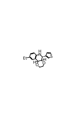 CCc1ccc2c(c1)[C@H]1OCCO[C@H]1[C@H](c1ccsc1)N2